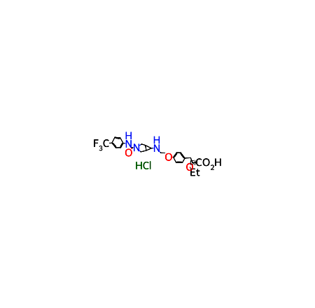 CCO[C@@H](Cc1ccc(OCCNC2C3CN(C(=O)Nc4ccc(C(F)(F)F)cc4)CC32)cc1)C(=O)O.Cl